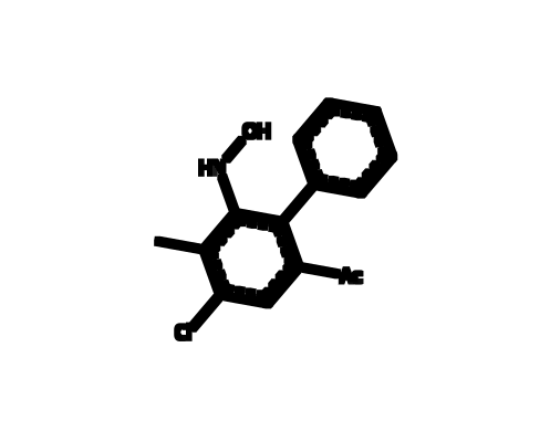 CC(=O)c1cc(Cl)c(C)c(NO)c1-c1ccccc1